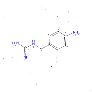 N=C(N)NCc1ccc(N)cc1F